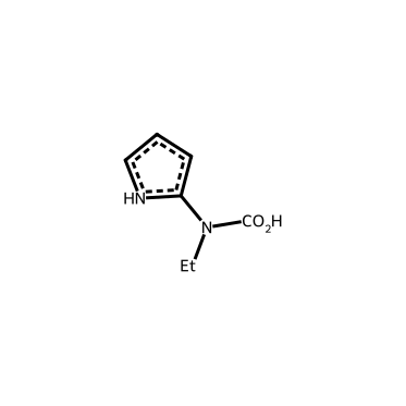 CCN(C(=O)O)c1ccc[nH]1